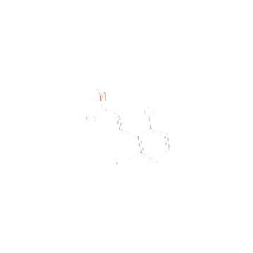 O=[SH](=O)/C=C/c1c(Cl)cccc1Cl